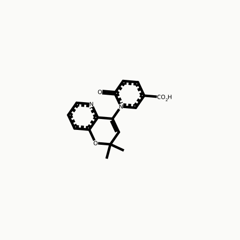 CC1(C)C=C(n2cc(C(=O)O)ccc2=O)c2ncccc2O1